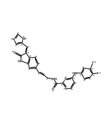 O=C1Nc2cc(/C=C/CNC(=O)c3nccc(Nc4ccc(F)c(F)c4)n3)ccc2/C1=C/c1cnc[nH]1